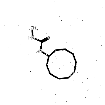 CNC(=S)NC1CCCCCCCCC1